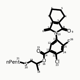 C=C1C2=C(CCCC2)C(=O)N1c1cc(C(=O)OC(C)CSCCCCC)c(Cl)cc1F